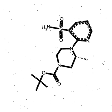 C[C@@H]1CN(C(=O)OC(C)(C)C)CCN1c1ncccc1S(N)(=O)=O